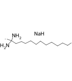 [CH2]C(N)(N)CCCCCCCCCCCC.[NaH]